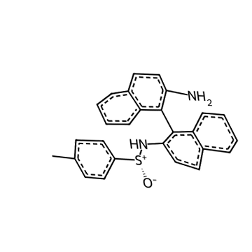 Cc1ccc([S@@+]([O-])Nc2ccc3ccccc3c2-c2c(N)ccc3ccccc23)cc1